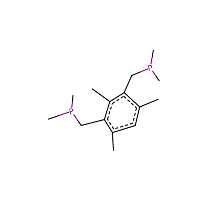 Cc1cc(C)c(CP(C)C)c(C)c1CP(C)C